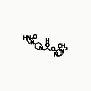 Cc1nccnc1OCC(O)CN1CCC(N2CCNC2=O)CC1